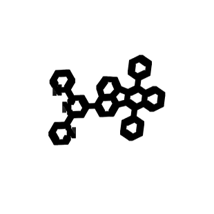 c1ccc(-c2c3c(c(-c4ccccc4)c4ccccc24)-c2ccc(-c4cc(-c5ccccn5)nc(-c5ccccn5)c4)c4cccc-3c24)cc1